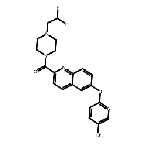 O=C(c1ccc2cc(Oc3ccc(C(F)(F)F)cn3)ccc2n1)N1CCN(CC(F)F)CC1